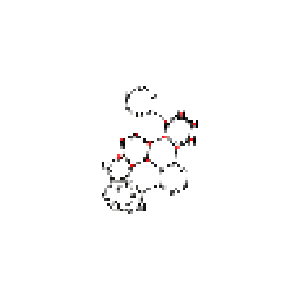 c1ccc(-c2ccc3oc4ccccc4c3c2-c2c(-c3ccccn3)cccc2-c2nnnc(-c3ccccc3)c2-c2ccccc2)cc1